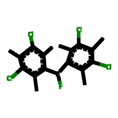 Cc1c(Cl)c(C)c(B(F)c2c(C)c(Cl)c(C)c(Cl)c2C)c(C)c1Cl